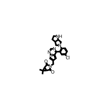 CC1(C)C2C(=O)N(Cc3cc4c(-c5cc(Cl)ccc5N5CC6CCNC6C5)ncnn4c3)C(=O)C21